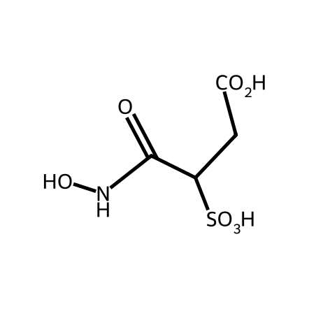 O=C(O)CC(C(=O)NO)S(=O)(=O)O